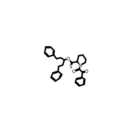 O=C(C(=O)N1CCCCC1C(=S)OC(CCc1ccccc1)CCc1ccccc1)c1ccccc1